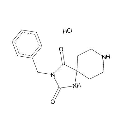 Cl.O=C1NC2(CCNCC2)C(=O)N1Cc1ccccc1